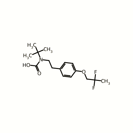 CC(F)(F)COc1ccc(CCN(C(=O)O)C(C)(C)C)cc1